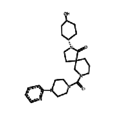 O=C(N1CCN(c2ccccn2)CC1)N1CCCC2(CCN([C@H]3CC[C@H](O)CC3)C2=O)C1